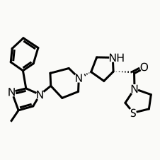 Cc1cn(C2CCN([C@@H]3CN[C@H](C(=O)N4CCSC4)C3)CC2)c(-c2ccccc2)n1